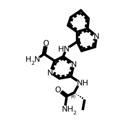 CC[C@@H](Nc1cnc(C(N)=O)c(Nc2ccnc3ccccc23)n1)C(N)=O